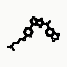 CN(C)CCCOc1ccc(-c2cnc3sc(N(C)c4ccc5c(c4)OCO5)nn23)cn1